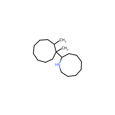 CC1CCCCCCCC1(C)C1CCCCCCCN1